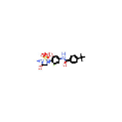 CC(C)(C)c1ccc(C(=O)Nc2cc(O)c(N3CC(=O)NS3(=O)=O)c(F)c2)cc1